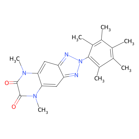 Cc1c(C)c(C)c(-n2nc3cc4c(cc3n2)n(C)c(=O)c(=O)n4C)c(C)c1C